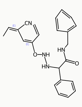 C=C/C(=C\C(C#N)=C/C)ONNC(C(=O)NCc1ccccc1)c1ccccc1